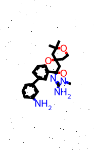 CN1OC2(CC3(CCOC(C)(C)C3)Oc3ccc(-c4cccc(N)c4)cc32)N=C1N